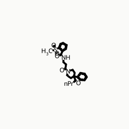 CCCC(=O)C1(c2ccccc2)CCN(C(=O)CCNC(=O)c2ccccc2S(C)(=O)=O)CC1